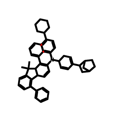 CC1(C)c2cccc(-c3ccccc3)c2C2C=CC(N(c3ccc(C4CCCCC4)cc3)C3C=CC(C4CC5CCC4C5)=CC3)=C(C3=CC=CCC3)C21